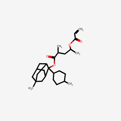 C=CC(=O)OC(C)CC(C)C(=O)OC1(C2CCC(C)CC2)C2CC3CC1CC(C)(C3)C2